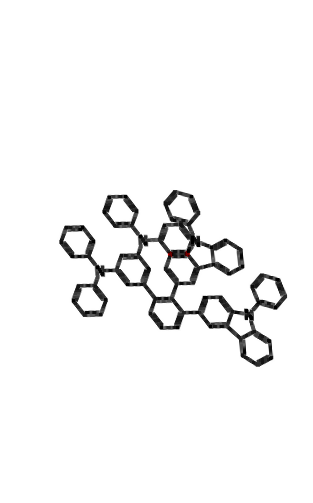 c1ccc(N(c2ccccc2)c2cc(-c3cccc(-c4ccc5c(c4)c4ccccc4n5-c4ccccc4)c3-c3ccc4c(c3)c3ccccc3n4-c3ccccc3)cc(N(c3ccccc3)c3ccccc3)c2)cc1